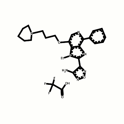 CCn1c(-c2nonc2N)nc2c(-c3ccccc3)ncc(OCCCN3CCCCC3)c21.O=C(O)C(F)(F)F